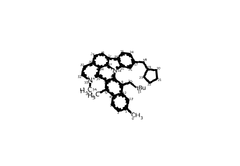 Cc1ccc2c(C)c3c(c(CC(C)(C)C)c2c1)n1c2cc(CC4CCCC4)ccc2c2ccc4cc[n+](C)c3c4c21